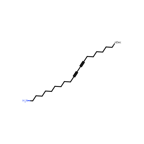 CCCCCCCCCCCCCCCCC#CC#CCCCCCCCCCN